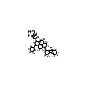 O=C1C2C=CC(C=C2c2cc(-c3ccccc3)c3ccc4c(-c5cccc6c5sc5ccccc56)ccc5ccc2c3c54)C1O